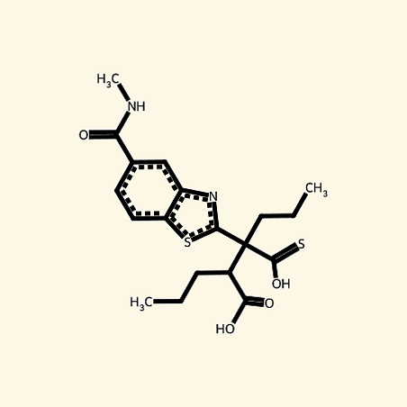 CCCC(C(=O)O)C(CCC)(C(O)=S)c1nc2cc(C(=O)NC)ccc2s1